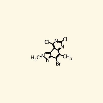 Cc1c(Br)c2nn(C)cc2c2c(Cl)nc(Cl)nc12